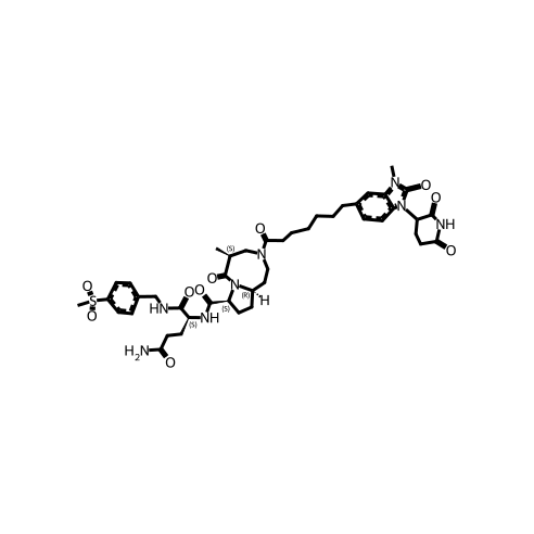 C[C@H]1CN(C(=O)CCCCCCc2ccc3c(c2)n(C)c(=O)n3C2CCC(=O)NC2=O)CC[C@H]2CC[C@@H](C(=O)N[C@@H](CCC(N)=O)C(=O)NCc3ccc(S(C)(=O)=O)cc3)N2C1=O